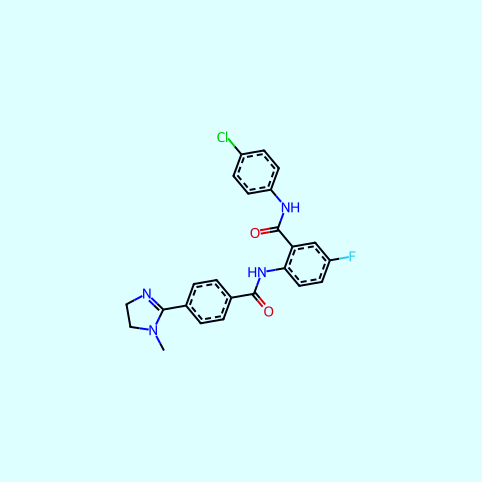 CN1CCN=C1c1ccc(C(=O)Nc2ccc(F)cc2C(=O)Nc2ccc(Cl)cc2)cc1